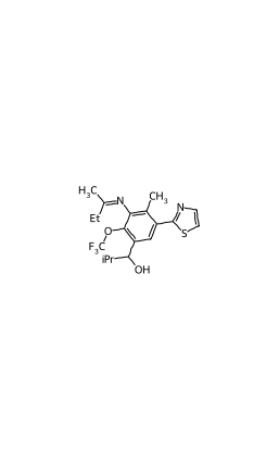 CC/C(C)=N\c1c(C)c(-c2nccs2)cc(C(O)C(C)C)c1OC(F)(F)F